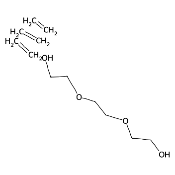 C=C.C=C.C=C.OCCOCCOCCO